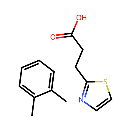 Cc1ccccc1C.O=C(O)CCc1nccs1